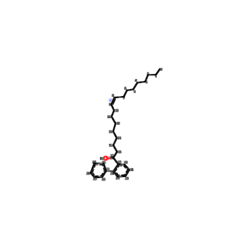 CCCCCCCC/C=C\CCCCCCCC(=O)c1ccccc1-c1ccccc1